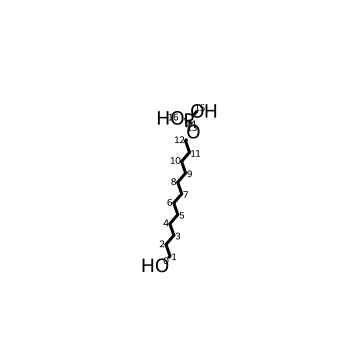 OCCCCCCCCCCCCOP(O)O